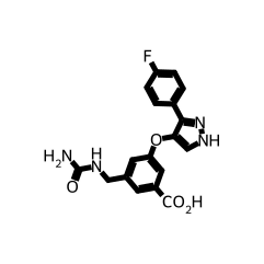 NC(=O)NCc1cc(Oc2c[nH]nc2-c2ccc(F)cc2)cc(C(=O)O)c1